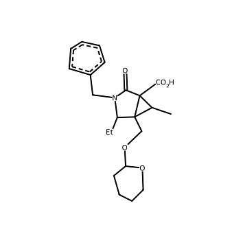 CCC1N(Cc2ccccc2)C(=O)C2(C(=O)O)C(C)C12COC1CCCCO1